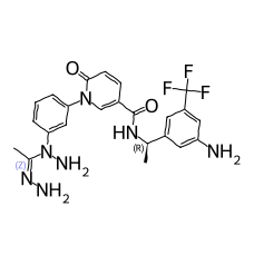 C/C(=N/N)N(N)c1cccc(-n2cc(C(=O)N[C@H](C)c3cc(N)cc(C(F)(F)F)c3)ccc2=O)c1